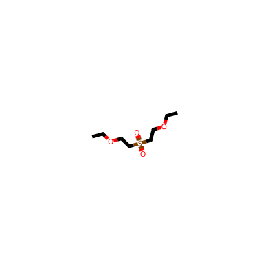 CCOCCS(=O)(=O)CCOCC